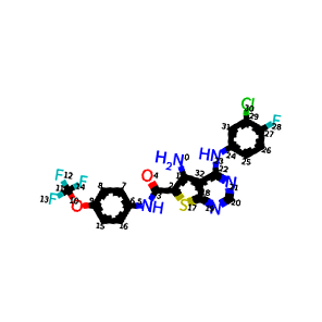 Nc1c(C(=O)Nc2ccc(OC(F)(F)F)cc2)sc2ncnc(Nc3ccc(F)c(Cl)c3)c12